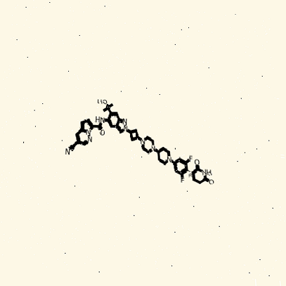 CC(C)(O)c1cc2nn(C3CC(N4CCN(C5CCN(c6cc(F)c([C@H]7CCC(=O)NC7=O)c(F)c6)CC5)CC4)C3)cc2cc1NC(=O)c1ccc2cc(C#N)cnn12